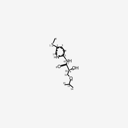 CSc1ccc(NC(=O)[C@@H](O)COC(C)C)nc1